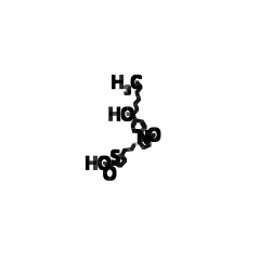 CCCCCC[C@H](O)c1ccc(N2C(=O)CC[C@@H]2CCCc2ccc(C(=O)O)s2)cc1